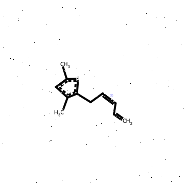 C=C/C=C\Cc1sc(C)cc1C